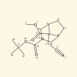 COC(=O)C1(CC#N)C2CCC1CN(C(=O)OC(C)(C)C)C2